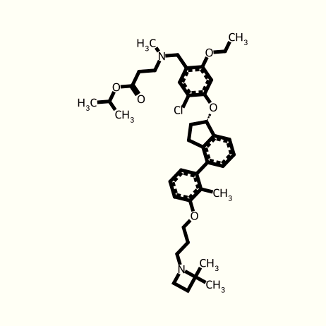 CCOc1cc(O[C@H]2CCc3c(-c4cccc(OCCCN5CCC5(C)C)c4C)cccc32)c(Cl)cc1CN(C)CCC(=O)OC(C)C